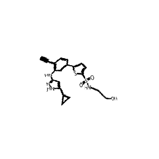 C#Cc1ccc(-c2ccc(S(=O)(=O)NCCO)s2)cc1Nc1cc(C2CC2)[nH]n1